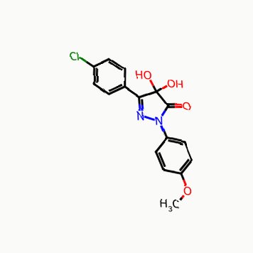 COc1ccc(N2N=C(c3ccc(Cl)cc3)C(O)(O)C2=O)cc1